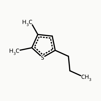 CCCc1cc(C)c(C)s1